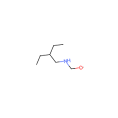 CCC(CC)CNC[O]